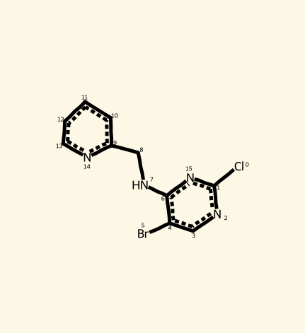 Clc1ncc(Br)c(NCc2ccccn2)n1